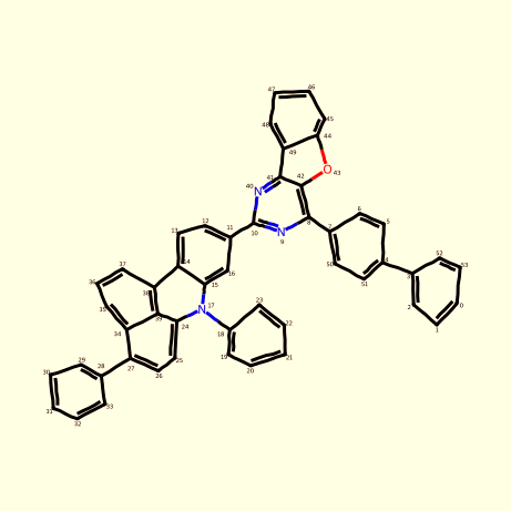 c1ccc(-c2ccc(-c3nc(-c4ccc5c(c4)N(c4ccccc4)c4ccc(-c6ccccc6)c6cccc-5c46)nc4c3oc3ccccc34)cc2)cc1